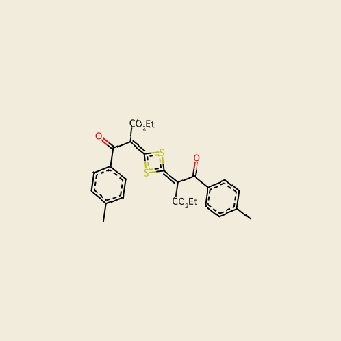 CCOC(=O)C(C(=O)c1ccc(C)cc1)=c1sc(=C(C(=O)OCC)C(=O)c2ccc(C)cc2)s1